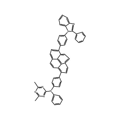 Cc1nc(C)nc(N(c2ccccc2)c2ccc(-c3ccc4ccc5c(-c6ccc(-n7c(-c8ccccc8)nc8ccccc87)cc6)ccc6ccc3c4c65)cc2)n1